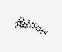 O=C1NCC2(CCCCC2)n2c1cc1cnc(N[C@H]3CC[C@H](N4CCN(C(F)(F)C5CC5)CC4)CC3)nc12